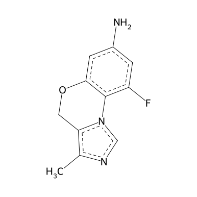 Cc1ncn2c1COc1cc(N)cc(F)c1-2